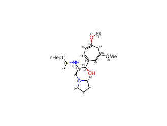 CCCCCCCC(C)N[C@H](CN1CCCC1)[C@H](O)C1=CC=C(OCC)CC(OC)=C1